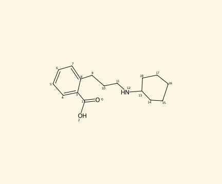 O=C(O)c1ccccc1CCCNC1CCCCC1